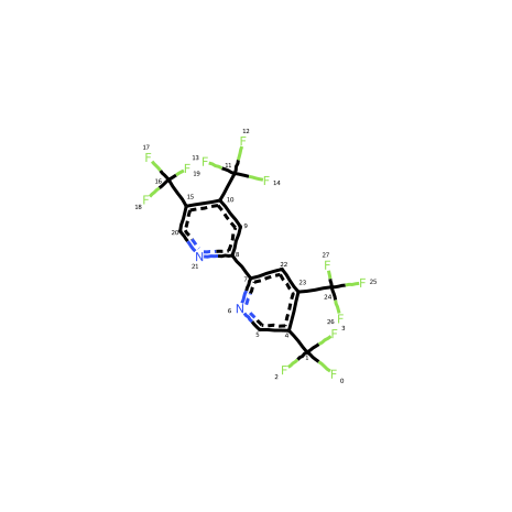 FC(F)(F)c1cnc(-c2cc(C(F)(F)F)c(C(F)(F)F)cn2)cc1C(F)(F)F